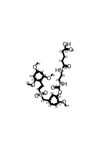 COc1cc(OC)c(/C=C/S(=O)(=O)Cc2ccc(OC)c(OC(=O)NCCNC(=O)CCCC(=O)O)c2)c(OC)c1